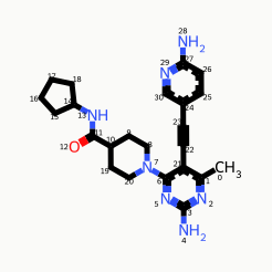 Cc1nc(N)nc(N2CCC(C(=O)NC3CCCC3)CC2)c1C#Cc1ccc(N)nc1